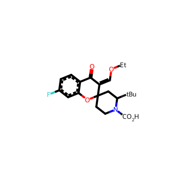 CCOC=C1C(=O)c2ccc(F)cc2OC12CCN(C(=O)O)C(C(C)(C)C)C2